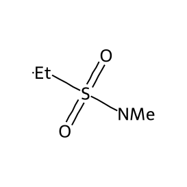 C[CH]S(=O)(=O)NC